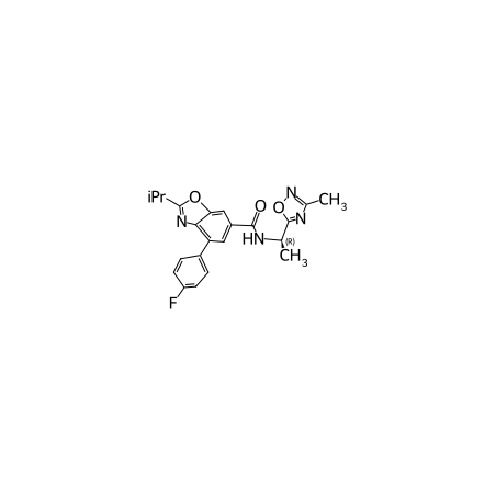 Cc1noc([C@@H](C)NC(=O)c2cc(-c3ccc(F)cc3)c3nc(C(C)C)oc3c2)n1